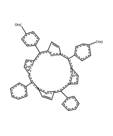 O=Cc1ccc(-c2c3nc(c(-c4ccc(C=O)cc4)c4ccc([nH]4)c(-c4ccccc4)c4nc(c(-c5ccccc5)c5ccc2[nH]5)C=C4)C=C3)cc1